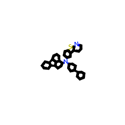 c1ccc(-c2ccc(N(c3ccc4sc5ncccc5c4c3)c3ccc4c5c(cccc35)-c3ccccc3-4)cc2)cc1